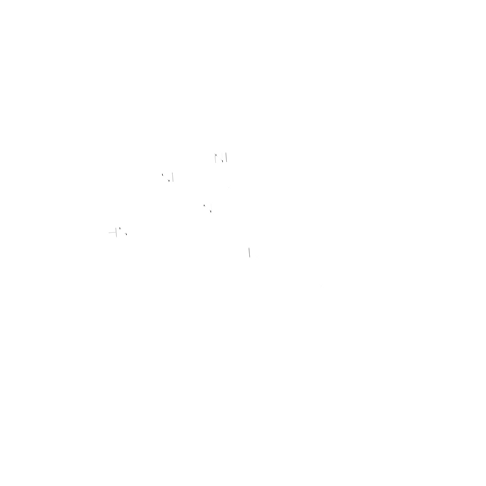 Cc1c(C(=N)/N=C2/CNCCN2)cccc1-c1ccccc1